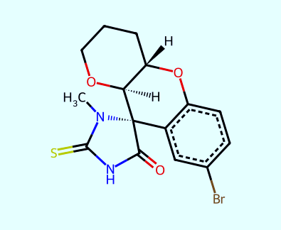 CN1C(=S)NC(=O)[C@@]12c1cc(Br)ccc1O[C@H]1CCCO[C@@H]12